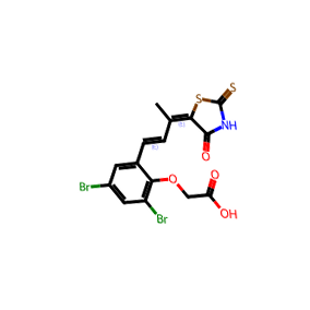 CC(/C=C/c1cc(Br)cc(Br)c1OCC(=O)O)=C1\SC(=S)NC1=O